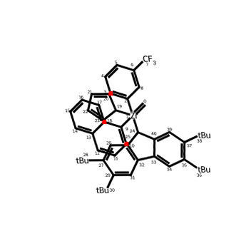 [CH2]=[Zr]([c]1cccc(C(F)(F)F)c1)([c]1cccc2ccccc12)([CH]1C=CC=C1)[CH]1c2cc(C(C)(C)C)c(C(C)(C)C)cc2-c2cc(C(C)(C)C)c(C(C)(C)C)cc21